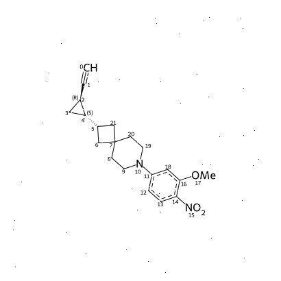 C#C[C@@H]1C[C@H]1C1CC2(CCN(c3ccc([N+](=O)[O-])c(OC)c3)CC2)C1